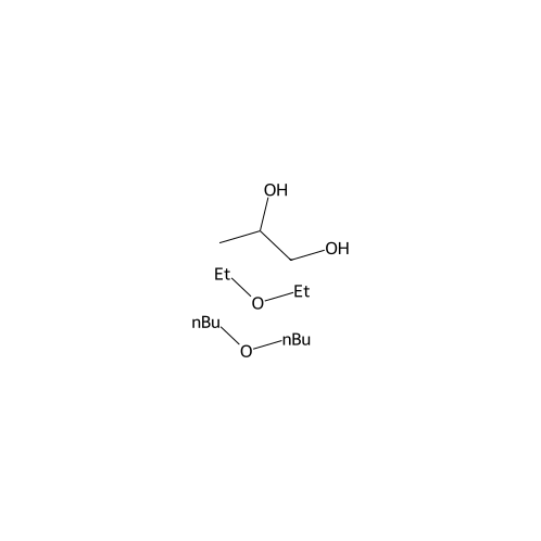 CC(O)CO.CCCCOCCCC.CCOCC